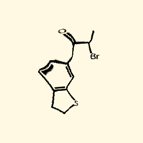 CC(Br)C(=O)c1ccc2c(c1)SCC2